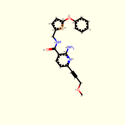 COCC#Cc1ccc(C(=O)NCc2ccc(Oc3ccccc3)s2)c(N)n1